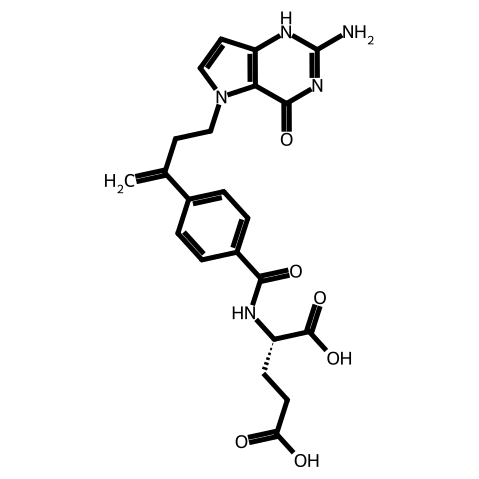 C=C(CCn1ccc2[nH]c(N)nc(=O)c21)c1ccc(C(=O)N[C@@H](CCC(=O)O)C(=O)O)cc1